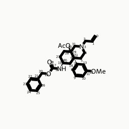 C=CCN1CC[C@@]2(c3cccc(OC)c3)C[C@H](NC(=O)OCc3ccccc3)CC[C@]2(OC(C)=O)C1